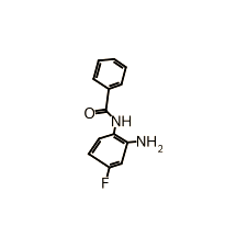 Nc1cc(F)ccc1NC(=O)c1ccccc1